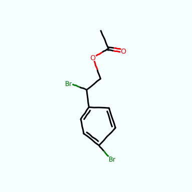 CC(=O)OCC(Br)c1ccc(Br)cc1